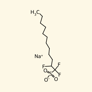 CCCCCCCCCCC(F)C(F)(F)S(=O)(=O)[O-].[Na+]